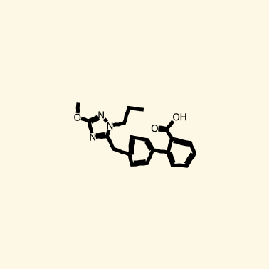 CCCn1nc(OC)nc1Cc1ccc(-c2ccccc2C(=O)O)cc1